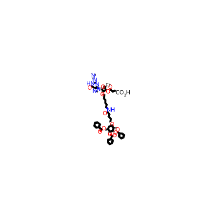 CC[C@H]1O[C@@H](n2cnc3c(=O)[nH]c(/N=C/N(C)C)nc32)[C@@H](OCCCCCCNC(=O)CCCCO[C@@H]2C[C@H](COC(=O)c3ccccc3)[C@H](OC(=O)c3ccccc3)[C@H](OC(=O)c3ccccc3)[C@H]2C)C1OC(=O)CCC(=O)O